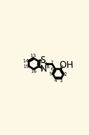 Oc1ccccc1Cc1nc2c(s1)C=CCC2